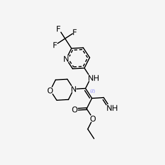 CCOC(=O)/C(C=N)=C(/Nc1ccc(C(F)(F)F)nc1)N1CCOCC1